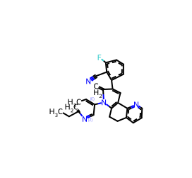 C=C(CC)/N=C\C(=C/C)N1C(=C)C(c2cccc(F)c2C#N)=CC2=C1CCc1cccnc12